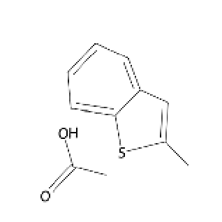 CC(=O)O.Cc1cc2ccccc2s1